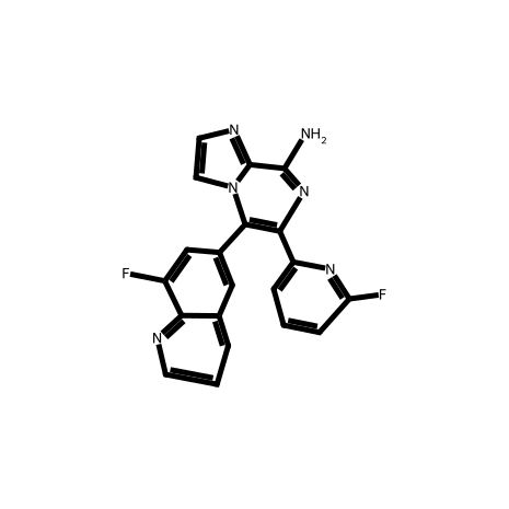 Nc1nc(-c2cccc(F)n2)c(-c2cc(F)c3ncccc3c2)n2ccnc12